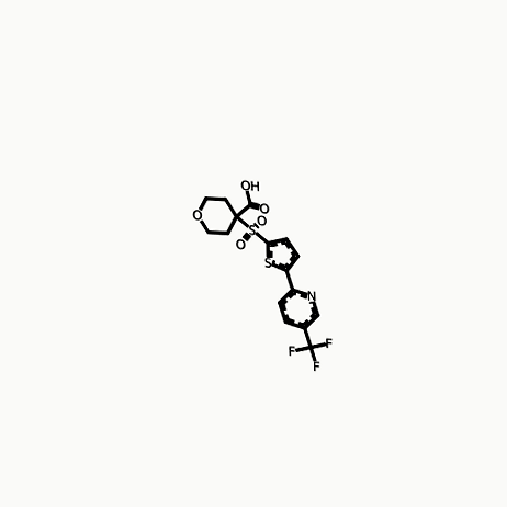 O=C(O)C1(S(=O)(=O)c2ccc(-c3ccc(C(F)(F)F)cn3)s2)CCOCC1